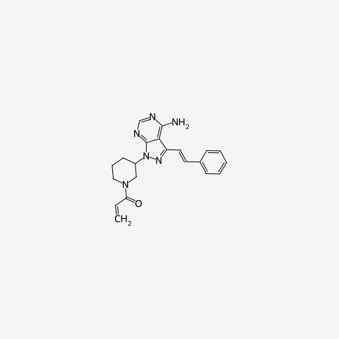 C=CC(=O)N1CCCC(n2nc(/C=C/c3ccccc3)c3c(N)ncnc32)C1